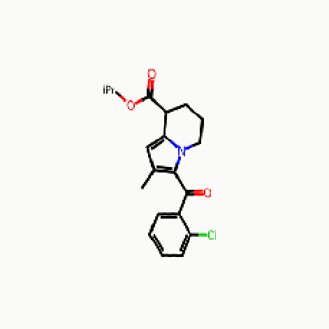 Cc1cc2n(c1C(=O)c1ccccc1Cl)CCCC2C(=O)OC(C)C